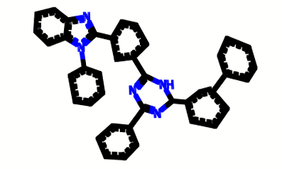 c1ccc(C2=NC(c3cccc(-c4ccccc4)c3)NC(c3cccc(-c4nc5ccccc5n4-c4ccccc4)c3)=N2)cc1